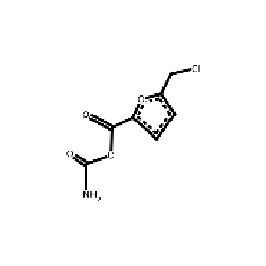 NC(=O)OC(=O)c1ccc(CCl)o1